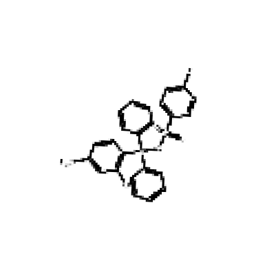 Cc1ccc(S(OS(=O)(=O)c2ccc(F)cc2)(c2ccccc2)c2ccccc2)c(C)c1